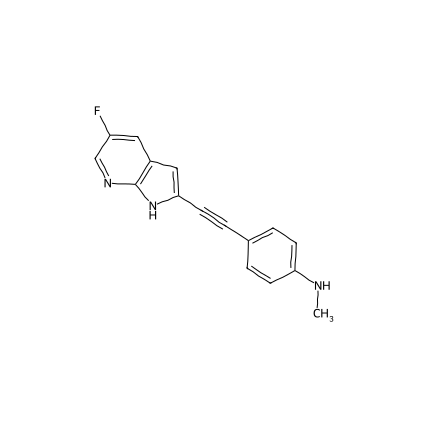 CNc1ccc(C#Cc2cc3cc(F)cnc3[nH]2)cc1